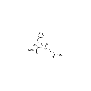 CNC(=O)CCCNC(=O)c1cc(C(=O)NC)c(=O)n(Cc2ccccc2)c1